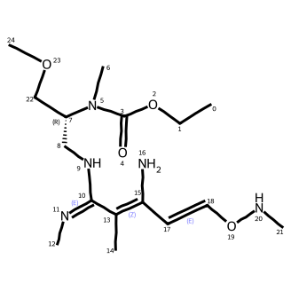 CCOC(=O)N(C)[C@H](CNC(=N/C)/C(C)=C(N)/C=C/ONC)COC